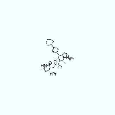 CCCc1cc(C)[nH]c(=O)c1CNC(=O)c1cc(-c2ccc(C3CCCCC3)cc2)c2ccn(C(C)C)c2c1C